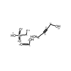 O=CO.O=S(=O)(O)CF.OCC#CCO